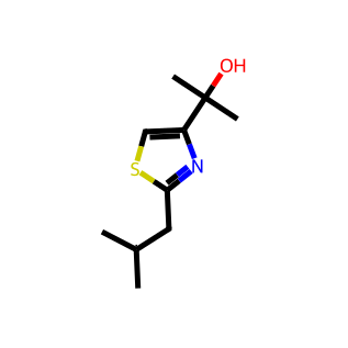 C[C](C)Cc1nc(C(C)(C)O)cs1